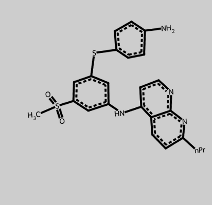 CCCc1ccc2c(Nc3cc(Sc4ccc(N)cc4)cc(S(C)(=O)=O)c3)ccnc2n1